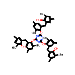 Cc1cc(Cc2cc(C)cc(C(C)(C)C)c2Oc2nc(Oc3c(Cc4cc(C)cc(C(C)(C)C)c4O)cc(C)cc3C(C)(C)C)nc(Oc3c(Cc4cc(C)cc(C(C)(C)C)c4O)cc(C)cc3C(C)(C)C)n2)c(O)c(C(C)(C)C)c1